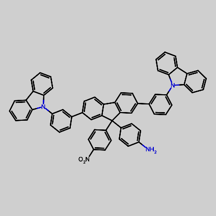 Nc1ccc(C2(c3ccc([N+](=O)[O-])cc3)c3cc(-c4cccc(-n5c6ccccc6c6ccccc65)c4)ccc3-c3ccc(-c4cccc(-n5c6ccccc6c6ccccc65)c4)cc32)cc1